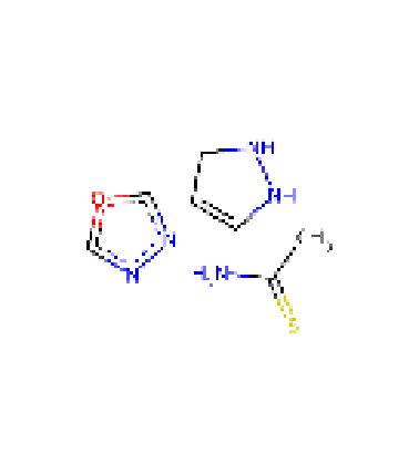 C1=CNNC1.CC(N)=S.c1nnco1